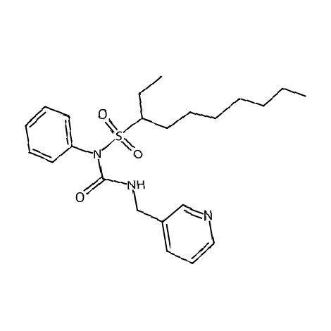 CCCCCCCC(CC)S(=O)(=O)N(C(=O)NCc1cccnc1)c1ccccc1